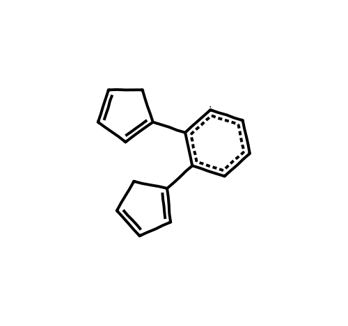 [c]1cccc(C2=CC=CC2)c1C1=CC=CC1